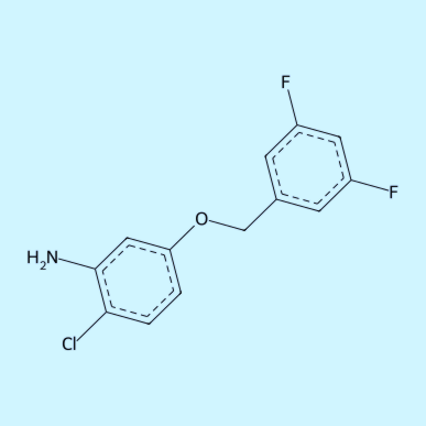 Nc1cc(OCc2cc(F)cc(F)c2)ccc1Cl